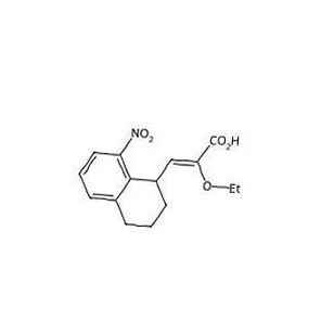 CCO/C(=C\C1CCCc2cccc([N+](=O)[O-])c21)C(=O)O